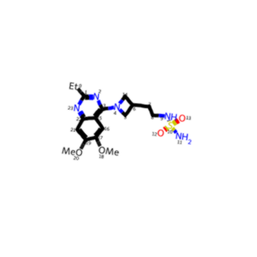 CCc1nc(N2CC(CCNS(N)(=O)=O)C2)c2cc(OC)c(OC)cc2n1